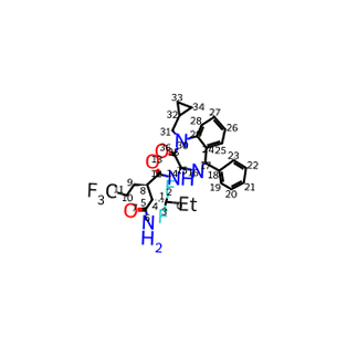 CCC(F)(F)[C@H](C(N)=O)[C@@H](CCC(F)(F)F)C(=O)N[C@H]1N=C(c2ccccc2)c2ccccc2N(CC2CC2)C1=O